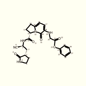 N#C[C@H](C[C@@H]1CCNC1=O)NC(=O)[C@@H]1CCc2ccc(NCC(=O)Oc3ccccc3)c(=O)n21